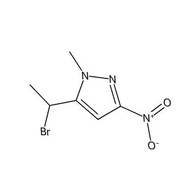 CC(Br)c1cc([N+](=O)[O-])nn1C